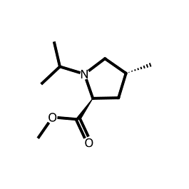 COC(=O)[C@@H]1C[C@@H](C)CN1C(C)C